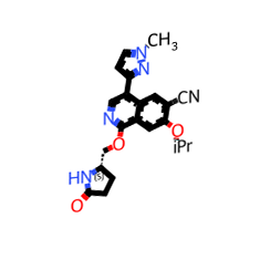 CC(C)Oc1cc2c(OC[C@@H]3CCC(=O)N3)ncc(-c3ccn(C)n3)c2cc1C#N